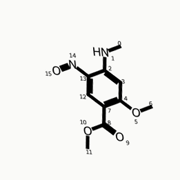 CNc1cc(OC)c(C(=O)OC)cc1N=O